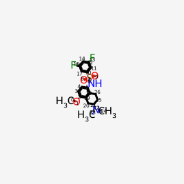 COc1ccc(NS(=O)(=O)c2cc(F)cc(F)c2)c2c1C[C@@H](N(C)C)CC2